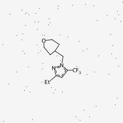 CCc1cc(C(F)(F)F)n(CC2CCOCC2)n1